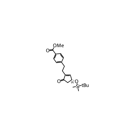 COC(=O)c1ccc(CCC2=C[C@H](O[Si](C)(C)C(C)(C)C)CC2=O)cc1